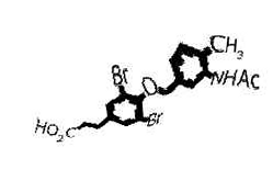 CC(=O)Nc1cc(COc2c(Br)cc(CCC(=O)O)cc2Br)ccc1C